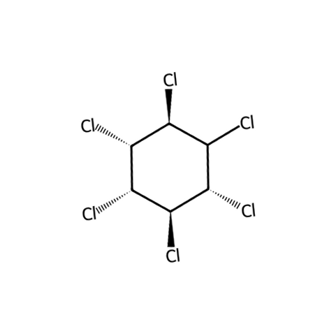 ClC1[C@H](Cl)[C@@H](Cl)[C@H](Cl)[C@H](Cl)[C@H]1Cl